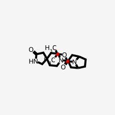 CC(C)OC(=O)N1C2CCC1CC(N1CCC3(CC1)CNC(=O)C3)C2